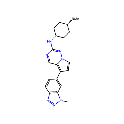 CN[C@H]1CC[C@H](Nc2ncc3c(-c4ccc5nnn(C)c5c4)ccn3n2)CC1